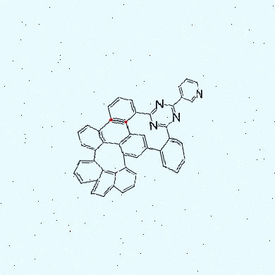 c1ccc(-c2nc(-c3cccnc3)nc(-c3ccccc3-c3cc4ccc5cccc6c7cccc8ccc9cccc(c(c3)c4c56)c9c87)n2)cc1